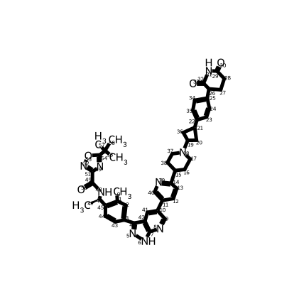 Cc1cc(-c2n[nH]c3ncc(-c4ccc(C5CCN(C6CC(c7ccc(C8CCC(=O)NC8=O)cc7)C6)CC5)nc4)cc23)ccc1[C@@H](C)NC(=O)c1noc(C(C)(C)C)n1